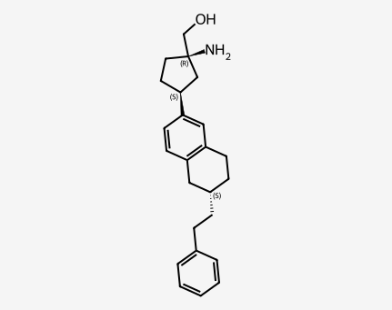 N[C@]1(CO)CC[C@H](c2ccc3c(c2)CC[C@H](CCc2ccccc2)C3)C1